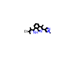 CC/C(C)=C(\C)C(=N)c1cccc2c(C)c(-c3cnn(C)c3)ncc12